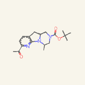 CC(=O)c1ccc2c(n1)N1C(C)CN(C(=O)OC(C)(C)C)CC1C2